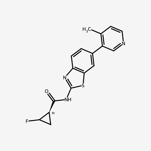 Cc1ccncc1-c1ccc2nc(NC(=O)[C@H]3CC3F)sc2c1